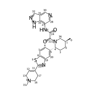 C[C@H]1CC[C@H](c2ccc3sc(C4=CCN(C)CC4)nc3c2)N(C(=O)C(=O)Nc2cncc3cn[nH]c23)C1